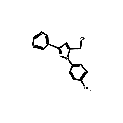 O=[N+]([O-])c1ccc(-n2nc(-c3cccnc3)cc2CO)cc1